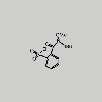 CON(C(=O)c1ccccc1S(=O)(=O)Cl)C(C)(C)C